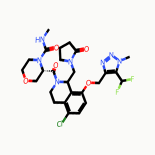 CNC(=O)N1CCOC[C@H]1C(=O)N1CCc2c(Cl)ccc(OCc3nnn(C)c3C(F)F)c2C1CN1CCCC1=O